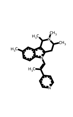 C/C(=C\n1c2c(c3cc(C)ccc31)C(C)N(C)C(C)C2)c1ccncc1